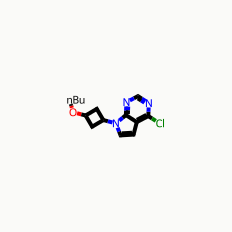 CCCCOC1CC(n2ccc3c(Cl)ncnc32)C1